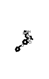 CC1COC(Cc2nc[nH]n2)(c2ccc(OCc3ccccc3)cc2Cl)O1